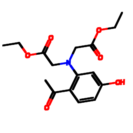 CCOC(=O)CN(CC(=O)OCC)c1cc(O)ccc1C(C)=O